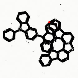 c1ccc(-n2c3ccccc3c3cc(-c4nc(-n5c6ccccc6c6ccc7sc8ccc9c%10ccccc%10n(-c%10ccccc%10)c9c8c7c65)nc5ccccc45)ccc32)cc1